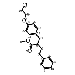 COC(=O)C(CCc1ccccc1)Cc1ccc(OCCCl)cc1